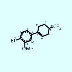 CCc1ccc(C2=CCC(C(F)(F)F)CC2)cc1OC